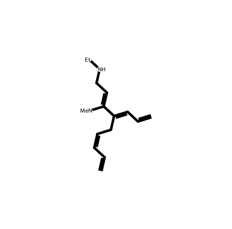 C=C/C=C\CC(=C\C=C)/C(=C/CNCC)NC